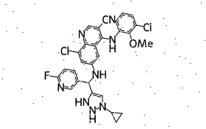 COc1c(Cl)cccc1Nc1c(C#N)cnc2c(Cl)cc(NC(C3=CN(C4CC4)NN3)c3ccc(F)nc3)cc12